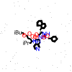 CCC(C)COC(=O)CC(O)C(CC(C)C)NC(=O)[C@H](Cc1cccnc1)NC(=O)[C@H](Cc1cccc2ccccc12)NC(=O)OCc1ccccc1